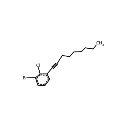 CCCCCCCC#Cc1cccc(Br)c1Cl